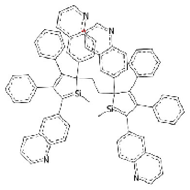 C[Si]1=C(c2ccc3ncccc3c2)C(c2ccccc2)=C(c2ccccc2)C1(CCC1(c2ccc3ncccc3c2)C(c2ccccc2)=C(c2ccccc2)C(c2ccc3ncccc3c2)=[Si]1C)c1ccc2ncccc2c1